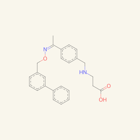 CC(=NOCc1cccc(-c2ccccc2)c1)c1ccc(CNCCC(=O)O)cc1